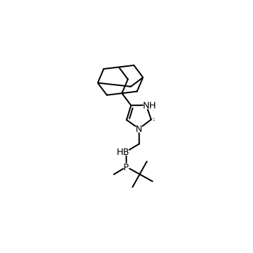 CP(BCN1[C]NC(C23CC4CC(CC(C4)C2)C3)=C1)C(C)(C)C